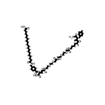 Cc1ccc(C[C@@H](C(N)=O)C(C)C(=O)[C@@H](C)CCCCNC(=O)COCCOCCNC(=O)COCCOCCNC(=O)CCC(NC(=O)C2CCC(CNC(=O)CCCCCCCCCCCCCCCCCCC(=O)O)CC2)C(=O)O)cc1